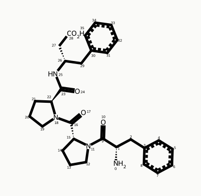 N[C@@H](Cc1ccccc1)C(=O)N1CCC[C@@H]1C(=O)N1CCC[C@H]1C(=O)N[C@H](CC(=O)O)Cc1ccccc1